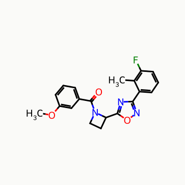 COc1cccc(C(=O)N2CCC2c2nc(-c3cccc(F)c3C)no2)c1